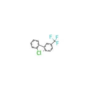 FC(F)(F)c1cc[c]c(-c2ccccc2Cl)c1